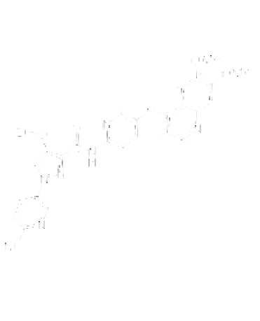 CCOc1cn(-c2ccc(C#N)nc2)nc1C(=O)Nc1ccc(Oc2ccnc3cc(OC)c(OC)cc23)cn1